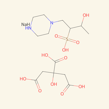 CC(O)C(CN1CCNCC1)S(=O)(=O)O.O=C(O)CC(O)(CC(=O)O)C(=O)O.[NaH]